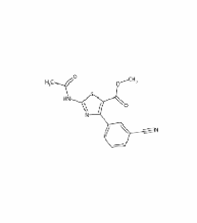 COC(=O)c1sc(NC(C)=O)nc1-c1cccc(C#N)c1